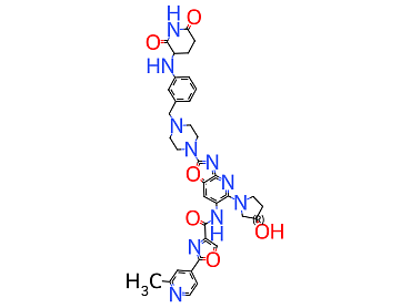 Cc1cc(-c2nc(C(=O)Nc3cc4oc(N5CCN(Cc6cccc(NC7CCC(=O)NC7=O)c6)CC5)nc4nc3N3CC[C@@H](O)C3)co2)ccn1